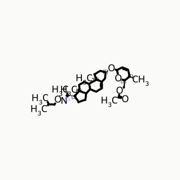 CC(=O)OC[C@H]1OC(O[C@H]2CC[C@@]3(C)C(=CCC4C3CC[C@@]3(C)C4CC[C@@H]3/C(C)=N/OCC(C)C)C2)C=C[C@@H]1C